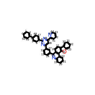 c1ccc(-c2ccc(-c3nc(-c4cccc(-c5nc6ccccc6c6c5ccc5c7ccccc7oc56)c4)cc(-c4ccccn4)n3)cc2)cc1